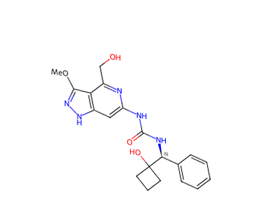 COc1n[nH]c2cc(NC(=O)N[C@@H](c3ccccc3)C3(O)CCC3)nc(CO)c12